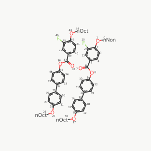 CCCCCCCCCOc1ccc(C(=O)Oc2ccc(-c3ccc(OCCCCCCCC)cc3)cc2)cc1F.CCCCCCCCOc1ccc(-c2ccc(OC(=O)c3ccc(OCCCCCCCC)c(F)c3)cc2)cc1